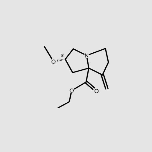 C=C1CCN2C[C@@H](OC)CC12C(=O)OCC